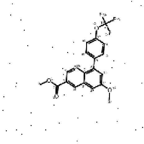 COC(=O)c1cnc2c(-c3ccc(OC(F)(F)F)cc3)cc(OC)cc2c1